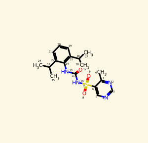 Cc1ncncc1S(=O)(=O)NC(=O)Nc1c(C(C)C)cccc1C(C)C